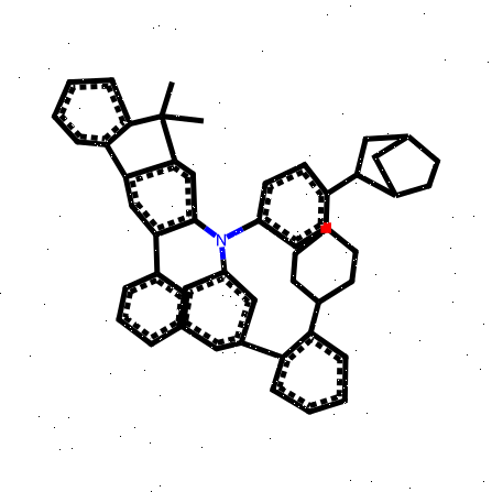 CC1(C)c2ccccc2-c2cc(-c3ccccc3)c(N(c3ccc(C4CC5CCC4C5)cc3)c3cccc(-c4ccccc4C4CCCCC4)c3)cc21